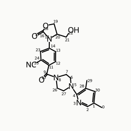 Cc1cnc(N2CCN(C(=O)c3ccc(N4C(=O)OCC4CO)cc3C#N)CC2)c(C)c1